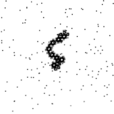 O=C1CCC(c2c(F)cc(N3CCC(CN4CCC(CN5CCC(c6ccc7c(c6)-n6c(nc(=O)c8c(Cl)cccc86)C76CCCCC6)CC5)CC4)CC3)cc2F)C(=O)N1